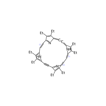 CCC1=C(CC)C2=NC1=C=C=c1[nH]/c(c(CC)c1CC)=C\C=C1/N=C(C#Cc3[nH]c(c(CC)c3CC)/C=C\2)C(CC)=C1CC